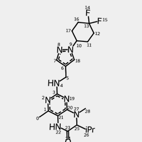 Cc1nc(NCc2cnn(C3CCC(F)(F)CC3)c2)nc2c1NC(=O)C(C(C)C)N2C